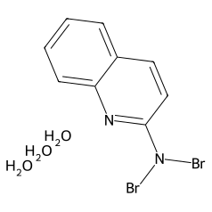 BrN(Br)c1ccc2ccccc2n1.O.O.O